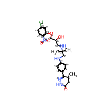 CC1CC(=O)NN=C1c1ccc(NCC(C)(C)NCC(O)COc2cc(Cl)ccc2[N+](=O)[O-])cc1